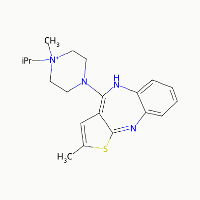 Cc1cc2c(s1)=Nc1ccccc1NC=2N1CC[N+](C)(C(C)C)CC1